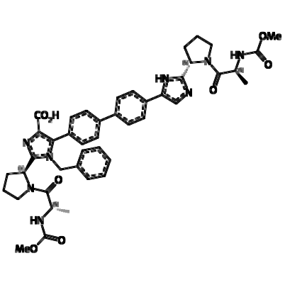 COC(=O)N[C@@H](C)C(=O)N1CCC[C@H]1c1ncc(-c2ccc(-c3ccc(-c4c(C(=O)O)nc([C@@H]5CCCN5C(=O)[C@H](C)NC(=O)OC)n4Cc4ccccc4)cc3)cc2)[nH]1